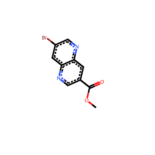 COC(=O)c1cnc2cc(Br)cnc2c1